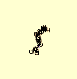 O=C(/C=C/c1ccc(Cl)c(Cl)c1)N1CC2(CCN(C(=O)c3ccc(-c4nnn[nH]4)cc3)CC2)C1